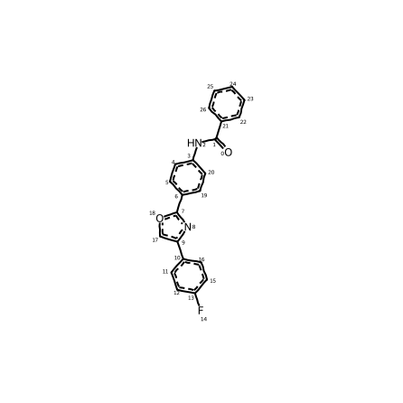 O=C(Nc1ccc(-c2nc(-c3ccc(F)cc3)co2)cc1)c1ccccc1